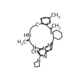 C=C1CN(C)c2cc(N3CCC3)nc3cc(nn23)C2CCCCN2C(=C)c2cc(C)ccc2CCCN1